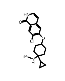 CC(C)NC1(C2CC2)CCC(Oc2cc3cc[nH]c(=O)c3cc2Cl)CC1